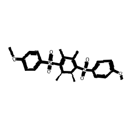 COc1ccc(S(=O)(=O)C2=C(C)C(C)=C(S(=O)(=O)c3ccc(OC)cc3)[C@H](C)[C@@H]2C)cc1